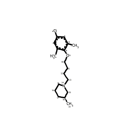 Cc1cc(Cl)cc(C)c1OCCCCN1CCC[C@H](C)C1